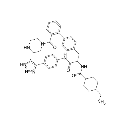 NCC1CCC(C(=O)N[C@@H](Cc2ccc(-c3ccccc3C(=O)N3CCNCC3)cc2)C(=O)Nc2ccc(-c3nn[nH]n3)cc2)CC1